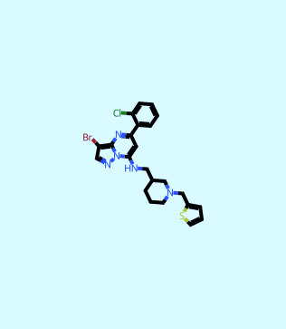 Clc1ccccc1-c1cc(NCC2CCCN(Cc3cccs3)C2)n2ncc(Br)c2n1